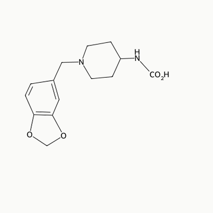 O=C(O)NC1CCN(Cc2ccc3c(c2)OCO3)CC1